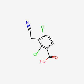 N#CCc1c(Cl)ccc(C(=O)O)c1Cl